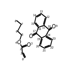 C=CC(=O)OCCCC.O=C1c2ccccc2C(=O)c2ccccc21